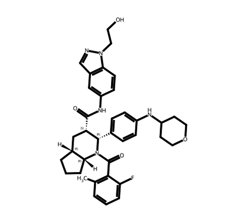 Cc1cccc(F)c1C(=O)N1[C@@H]2CCC[C@@H]2C[C@H](C(=O)Nc2ccc3c(cnn3CCO)c2)[C@@H]1c1ccc(NC2CCOCC2)cc1